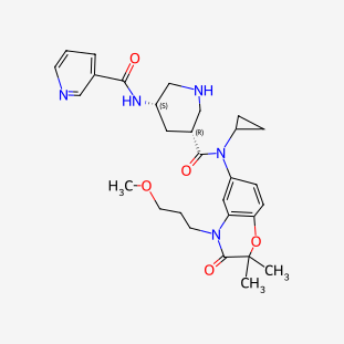 COCCCN1C(=O)C(C)(C)Oc2ccc(N(C(=O)[C@H]3CNC[C@@H](NC(=O)c4cccnc4)C3)C3CC3)cc21